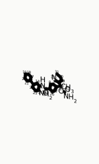 CC(OC(N)=O)(c1ccc(C(=O)Nc2cc(-c3ccccc3)ccc2N)cc1)c1cccnc1